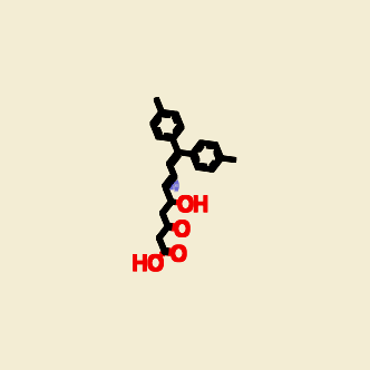 Cc1ccc(C(=C/C=C/C(O)CC(=O)CC(=O)O)c2ccc(C)cc2)cc1